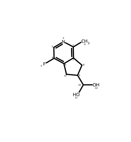 Cc1ncc(F)c2c1CC(C(O)O)C2